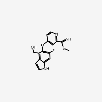 CSC(=N)c1cc(Oc2c(F)cc3[nH]ccc3c2CO)ccn1